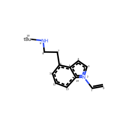 C=Cn1ccc2c(CCNC(C)(C)C)cccc21